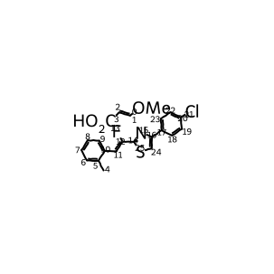 COC=CC(=O)O.Cc1ccccc1C=C(F)c1nc(-c2ccc(Cl)cc2)cs1